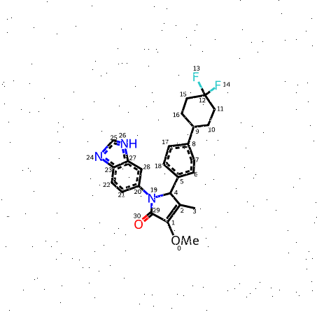 COC1=C(C)C(c2ccc(C3CCC(F)(F)CC3)cc2)N(c2ccc3nc[nH]c3c2)C1=O